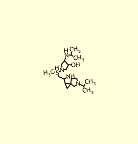 CC(C)NC1CN([SH](C)CC2NC3CN(C(C)C)CC34CC24)CC1O